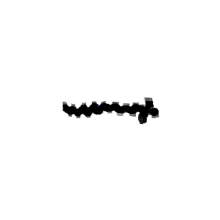 CCCCCC/C=C/CCCCCCCC(=O)N(C)C